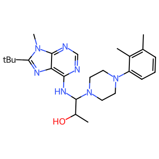 Cc1cccc(N2CCN(C(Nc3ncnc4c3nc(C(C)(C)C)n4C)C(C)O)CC2)c1C